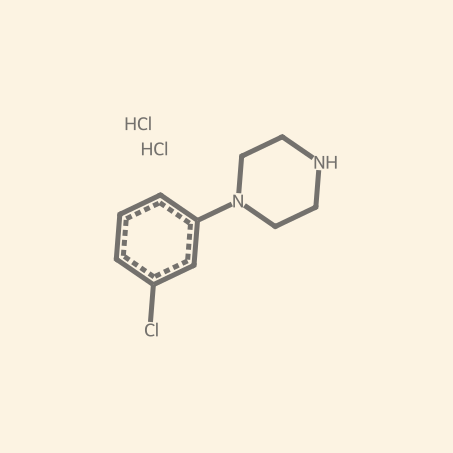 Cl.Cl.Clc1cccc(N2CCNCC2)c1